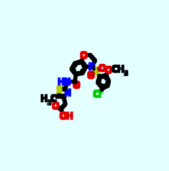 COc1ccc(Cl)cc1S(=O)(=O)N1CCOc2ccc(C(=O)Nc3nc(CC(=O)O)c(C)s3)cc21